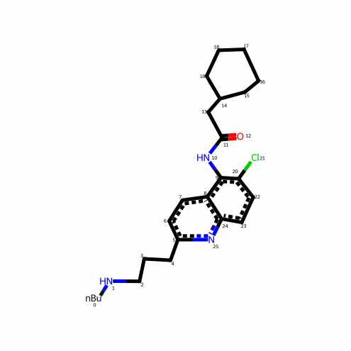 CCCCNCCCc1ccc2c(NC(=O)CC3CCCCC3)c(Cl)ccc2n1